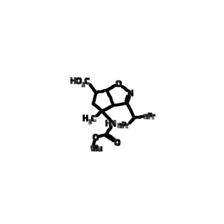 CCCC(CCC)C1=NOC2C(C(=O)O)CC(C)(NC(=O)OC(C)(C)C)C12